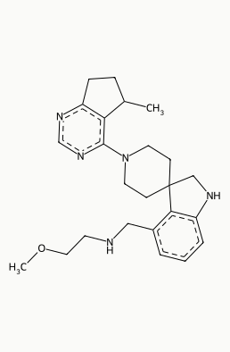 COCCNCc1cccc2c1C1(CCN(c3ncnc4c3C(C)CC4)CC1)CN2